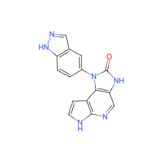 O=c1[nH]c2cnc3[nH]ccc3c2n1-c1ccc2[nH]ncc2c1